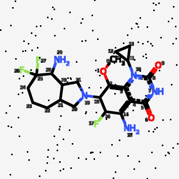 COC1=c2c(c(=O)[nH]c(=O)n2C2CC2)=C(N)C(F)C1N1CC2CCCC(F)(F)C(N)C2C1